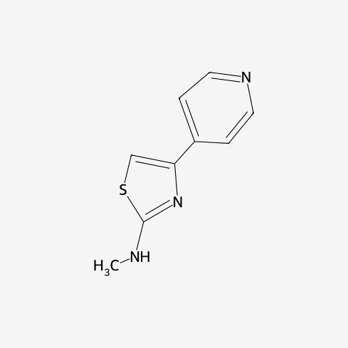 CNc1nc(-c2ccncc2)cs1